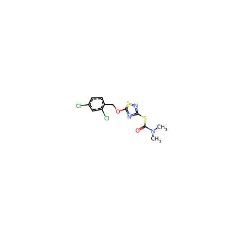 CN(C)C(=O)Sc1nsc(OCc2ccc(Cl)cc2Cl)n1